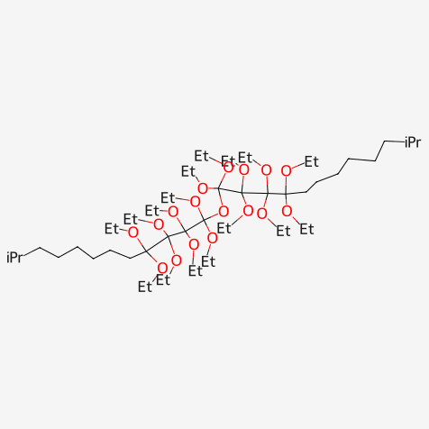 CCOC(CCCCCCC(C)C)(OCC)C(OCC)(OCC)C(OCC)(OCC)C(OCC)(OCC)OC(OCC)(OCC)C(OCC)(OCC)C(OCC)(OCC)C(CCCCCCC(C)C)(OCC)OCC